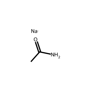 CC(N)=O.[Na]